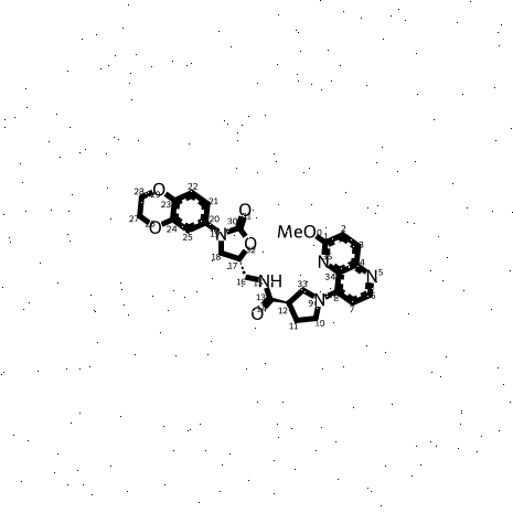 COc1ccc2nccc(N3CC[C@@H](C(=O)NC[C@@H]4CN(c5ccc6c(c5)OCCO6)C(=O)O4)C3)c2n1